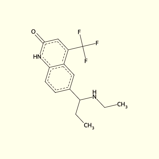 CCNC(CC)c1ccc2[nH]c(=O)cc(C(F)(F)F)c2c1